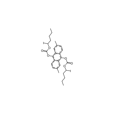 CCCCC(I)OC(=O)Oc1c2ccc(C)cc2c(OC(=O)OC(I)CCCC)c2ccc(C)cc12